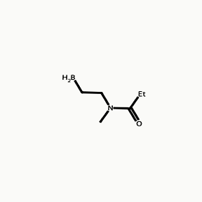 BCCN(C)C(=O)CC